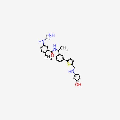 Cc1ccc(NC2CNC2)cc1C(=O)NC(C)c1cccc(-c2ccc(CN[C@@H]3CC[C@H](O)C3)s2)c1